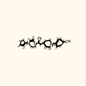 N#Cc1ccc(N2CCC(CC(=O)N3CCN(C4CCCC4)CC3)CC2)cc1